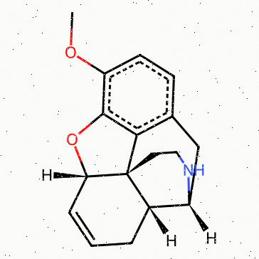 COc1ccc2c3c1O[C@H]1C=CC[C@H]4[C@@H](C2)NCC[C@]314